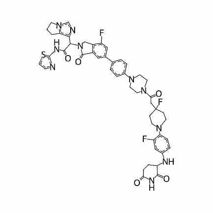 O=C1CCC(Nc2ccc(N3CCC(F)(CC(=O)N4CCN(c5ccc(-c6cc(F)c7c(c6)C(=O)N(C(C(=O)Nc6nccs6)c6ncn8c6CCC8)C7)cc5)CC4)CC3)c(F)c2)C(=O)N1